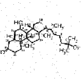 C[C@H](CCCC(C)(C)O)[C@H]1CC[C@H]2[C@@H]3C(O)C[C@@H]4CC(O)CC[C@]4(C)[C@H]3CC[C@]12C